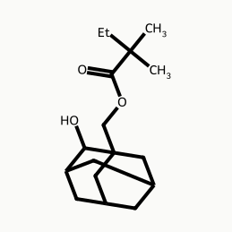 CCC(C)(C)C(=O)OCC12CC3CC(CC(C3)C1O)C2